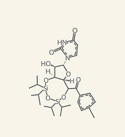 Cc1ccc(C(=O)C2O[Si](C(C)C)(C(C)C)O[Si](C(C)C)(C(C)C)O[C@H]3[C@@H](O)[C@H](n4ccc(=O)[nH]c4=O)O[C@H]23)cc1